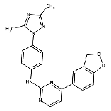 Cc1nc(C)n(-c2ccc(Nc3nccc(-c4ccc5c(c4)COO5)n3)cc2)n1